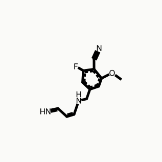 COc1cc(CN/C=C\C=N)cc(F)c1C#N